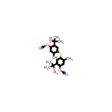 Cc1cc(OC#N)c(C(C)(C)C)cc1Sc1cc(C(C)(C)C)c(OC#N)cc1C